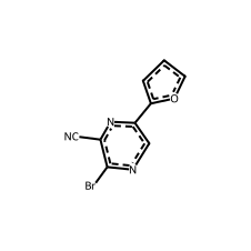 N#Cc1nc(-c2ccco2)cnc1Br